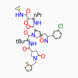 CCC[C@H](NC(=O)[C@@H]1C[C@]2(CC(c3cccc(Cl)c3)=NO2)CN1C(=O)[C@@H](NC(=O)C1CC(=O)N(Cc2cccs2)C1)C(C)(C)C)C(=O)C(=O)NC1CC1